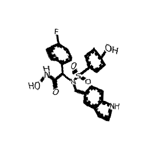 O=C(NO)C(c1ccc(F)cc1)N(Cc1ccc2[nH]ccc2c1)S(=O)(=O)c1ccc(O)cc1